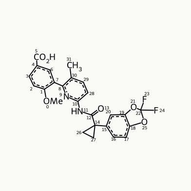 COc1ccc(C(=O)O)cc1-c1nc(NC(=O)C2(c3ccc4c(c3)OC(F)(F)O4)CC2)ccc1C